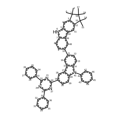 CC1(C)c2cc3[nH]c4ccc(-c5ccc6c(c5)c5cc(-c7nc(-c8ccccc8)nc(-c8ccccc8)n7)ccc5n6-c5ccccc5)cc4c3cc2C(C)(C)C1(C)C